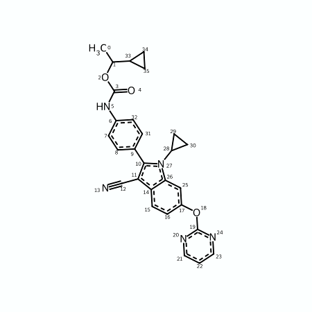 CC(OC(=O)Nc1ccc(-c2c(C#N)c3ccc(Oc4ncccn4)cc3n2C2CC2)cc1)C1CC1